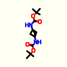 CC(C)(C)OC(=O)NC12CC(NC(=O)OC(C)(C)C)(C1)C2